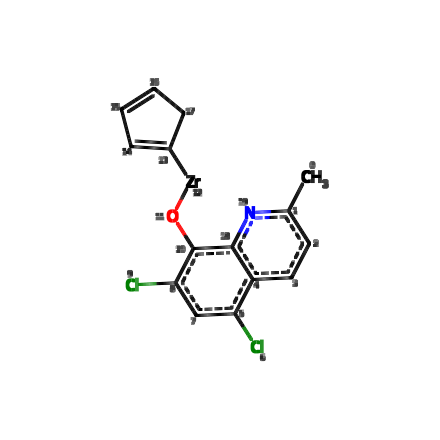 Cc1ccc2c(Cl)cc(Cl)c([O][Zr][C]3=CC=CC3)c2n1